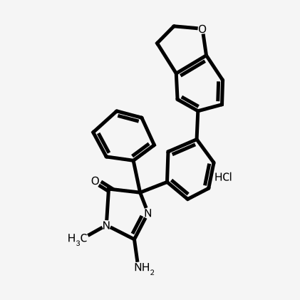 CN1C(=O)C(c2ccccc2)(c2cccc(-c3ccc4c(c3)CCO4)c2)N=C1N.Cl